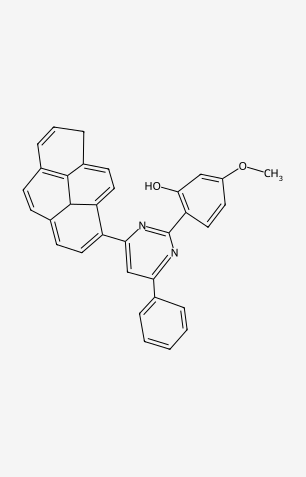 COc1ccc(-c2nc(C3=CC=C4C=CC5=C6C(=CC=C3C46)CC=C5)cc(-c3ccccc3)n2)c(O)c1